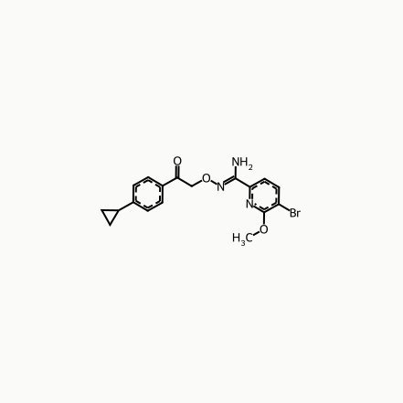 COc1nc(/C(N)=N/OCC(=O)c2ccc(C3CC3)cc2)ccc1Br